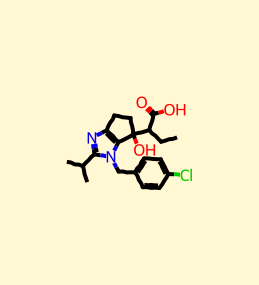 CCC(C(=O)O)C1(O)CCc2nc(C(C)C)n(Cc3ccc(Cl)cc3)c21